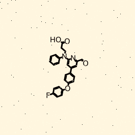 O=Cc1cc(-c2ccc(Oc3ccc(F)cc3)cc2)cc(N(CCC(=O)O)c2ccccc2)n1